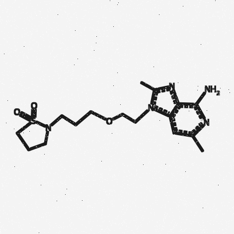 Cc1cc2c(nc(C)n2CCOCCCN2CCCS2(=O)=O)c(N)n1